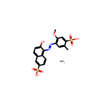 COc1cc(S(=O)(=O)O)c(C)cc1N=Nc1c(O)ccc2cc(S(=O)(=O)O)ccc12.[AlH3]